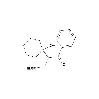 CCCCCCCCCCCC(C(=O)c1ccccc1)C1(O)CCCCC1